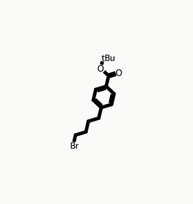 CC(C)(C)OC(=O)c1ccc(CCCCBr)cc1